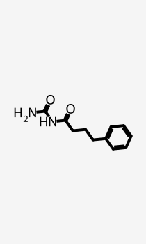 NC(=O)NC(=O)CCCc1ccccc1